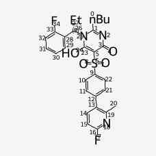 CCCCc1nc(=O)c(S(=O)(=O)c2ccc(-c3ccc(F)nc3C)cc2)c(O)n1[C@@H](CC)c1ccccc1F